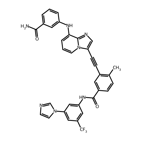 Cc1ccc(C(=O)Nc2cc(-n3ccnc3)cc(C(F)(F)F)c2)cc1C#Cc1cnc2c(Nc3cccc(C(N)=O)c3)cccn12